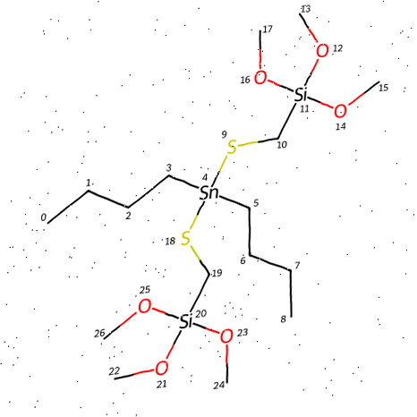 CCC[CH2][Sn]([CH2]CCC)([S]C[Si](OC)(OC)OC)[S]C[Si](OC)(OC)OC